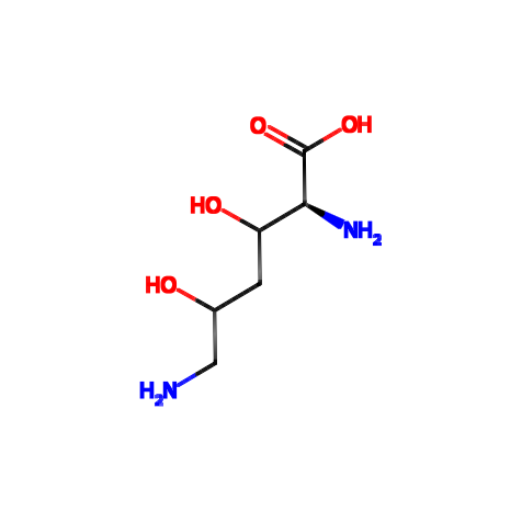 NCC(O)CC(O)[C@H](N)C(=O)O